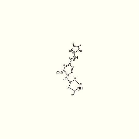 C[C@H]1C[C@@H](Oc2ccc(SNc3nccs3)cc2Cl)CCN1